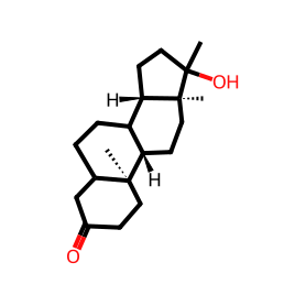 CC1(O)CC[C@H]2C3CCC4CC(=O)CC[C@]4(C)[C@H]3CC[C@@]21C